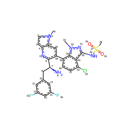 Cn1ccc2nc([C@@H](N)Cc3cc(F)cc(F)c3)c(-c3ccc(Cl)c4c(NS(C)(=O)=O)nn(C)c34)cc21